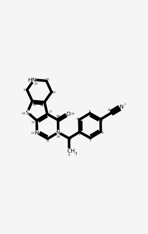 CC(c1ccc(C#N)cc1)n1cnc2sc3c(c2c1=O)CCNC3